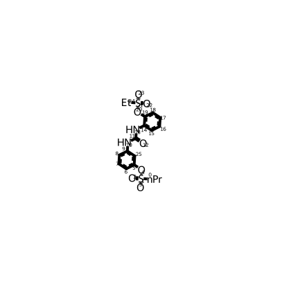 CCCS(=O)(=O)Oc1cccc(NC(=O)Nc2ccccc2OS(=O)(=O)CC)c1